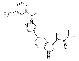 CC(c1cccc(C(F)(F)F)c1)n1cc(-c2ccc3[nH]cc(NC(=O)C4CCC4)c3c2)cn1